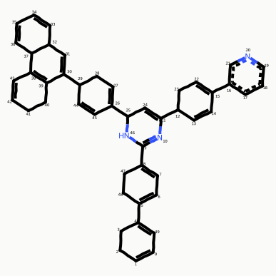 C1=CCCC(C2=CC=C(C3=NC(C4C=CC(c5cccnc5)=CC4)=CC(C4=CCC(C5=CC6C=CC=CC6C6=C5CCC=C6)C=C4)N3)CC2)=C1